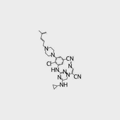 C=N/C=C(/C#N)N1CC(NC2CC2)=NC(Nc2cc(C#N)cc(N3CCN(C/C=C/C(=C)C)CC3)c2Cl)=N1